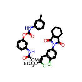 CCOC(=O)/C(Cl)=C/c1cc(N2C(=O)C3=C(CCCC3)C2=O)ccc1Cl.COC(=O)Nc1cccc(OC(=O)Nc2cccc(C)c2)c1